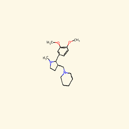 COc1ccc(C2C(CN3CCCCC3)CCN2C)cc1OC